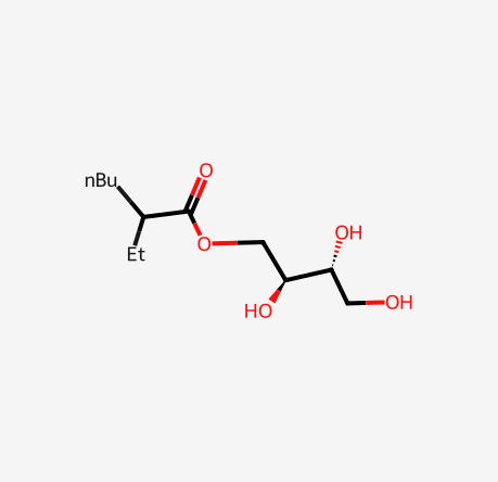 CCCCC(CC)C(=O)OC[C@H](O)[C@H](O)CO